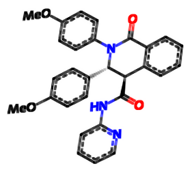 COc1ccc([C@H]2[C@H](C(=O)Nc3ccccn3)c3ccccc3C(=O)N2c2ccc(OC)cc2)cc1